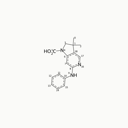 CC1(C)CN(C(=O)O)c2cc(Nc3ccccc3)ncc21